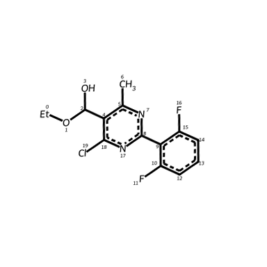 CCOC(O)c1c(C)nc(-c2c(F)cccc2F)nc1Cl